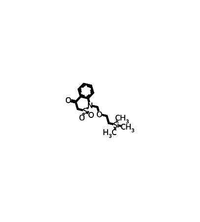 C[Si](C)(C)CCOCN1c2ccccc2C(=O)CS1(=O)=O